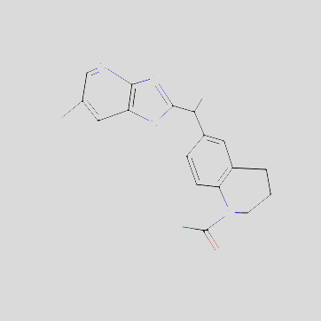 CC(c1ccc2c(c1)CCCN2C(=O)Cl)c1nc2ncc(Br)cc2[nH]1